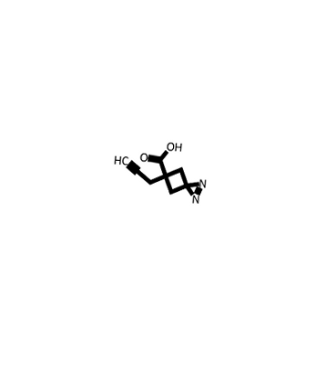 C#CCC1(C(=O)O)CC2(C1)N=N2